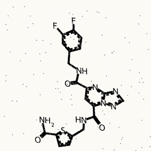 NC(=O)c1ccc(CNC(=O)c2cc(C(=O)NCc3ccc(F)c(F)c3)nc3ncnn23)s1